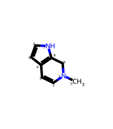 CN1C=Cc2cc[nH]c2C1